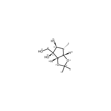 C[C@@H]1[C@@H]2OC(C)(C)O[C@@H]2[C@](O)(CO)[C@H]1S